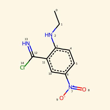 CCNc1ccc([N+](=O)[O-])cc1C(=N)Cl